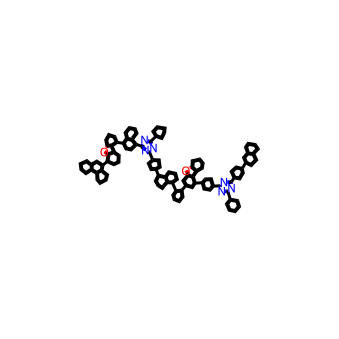 c1ccc(-c2nc(-c3ccc(-c4ccc5ccccc5c4)cc3)nc(-c3ccc(-c4cc(-c5ccccc5-c5cccc6c(-c7ccc(-c8nc(-c9ccccc9)nc(-c9ccc(-c%10cccc%11oc%12c(-c%13cc%14ccccc%14c%14ccccc%13%14)cccc%12c%10%11)c%10ccccc9%10)n8)cc7)cccc56)cc5oc6ccccc6c45)cc3)n2)cc1